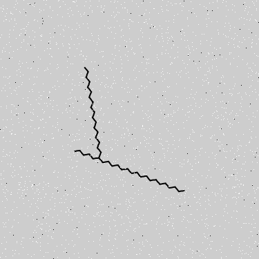 CCCCCCCCCCCCCCCCCCC(CCCCC)CCCCCCCCCCCCCCCCCC